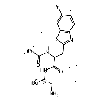 CC[C@H](C)[C@@H](CN)NC(=O)C(Cc1nc2ccc(C(C)C)cc2s1)NC(=O)C(C)C